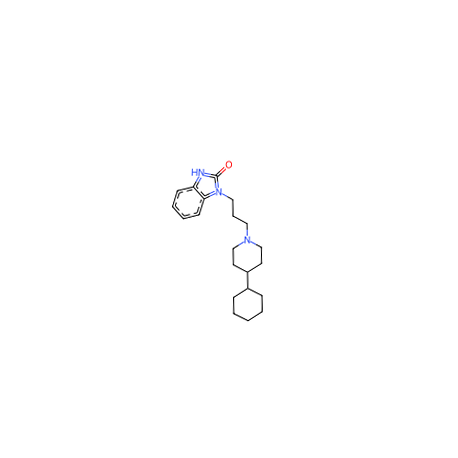 O=c1[nH]c2ccccc2n1CCCN1CCC(C2CCCCC2)CC1